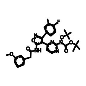 COc1cccc(CC(=O)Nc2onc(-c3ccc(F)c(C)c3)c2-c2ccnc(N(OC(C)(C)C)C(=O)OC(C)(C)C)n2)c1